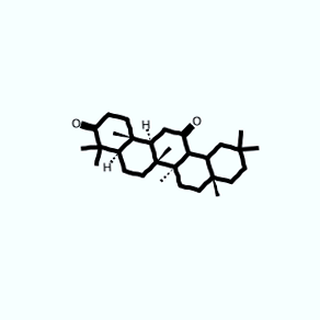 CC1(C)CC[C@]2(C)CC[C@]3(C)C(C(=O)C[C@@H]4[C@@]5(C)CCC(=O)C(C)(C)[C@@H]5CC[C@]43C)C2C1